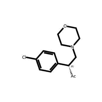 CC(=O)[C@@H](CN1CCOCC1)c1ccc(Cl)cc1